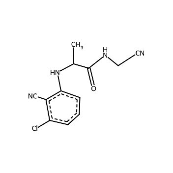 CC(Nc1cccc(Cl)c1C#N)C(=O)NCC#N